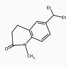 CCC(CC)c1ccc2c(c1)CCC(=O)N2C